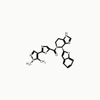 Cc1c(-c2ncc(C(=O)N3CCc4[nH]cnc4[C@H]3c3cc4ccccc4o3)o2)cnn1C